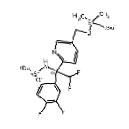 CC(C)(C)[S@@+]([O-])N[C@@](c1ccc(F)c(F)c1)(c1ccc(CO[Si](C)(C)C(C)(C)C)cn1)C(F)F